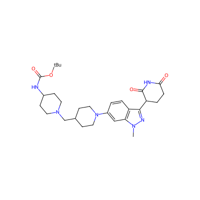 Cn1nc(C2CCC(=O)NC2=O)c2ccc(N3CCC(CN4CCC(NC(=O)OC(C)(C)C)CC4)CC3)cc21